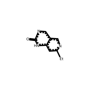 CCc1cc2[nH]c(=O)ncc2cn1